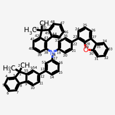 CC1(C)c2ccccc2-c2ccc(-c3cccc(N(c4ccc(-c5cccc6c5oc5ccccc56)cc4)c4cccc5c4-c4ccccc4C5(C)C)c3)cc21